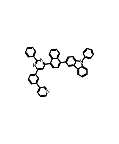 c1ccc(-c2nc(-c3cccc(-c4cccnc4)c3)cc(-c3ccc(-c4ccc5c(c4)c4ccccc4n5-c4ccccc4)c4ccccc34)n2)cc1